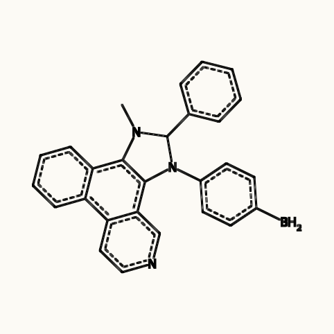 Bc1ccc(N2c3c(c4ccccc4c4ccncc34)N(C)C2c2ccccc2)cc1